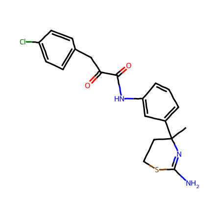 CC1(c2cccc(NC(=O)C(=O)Cc3ccc(Cl)cc3)c2)CCSC(N)=N1